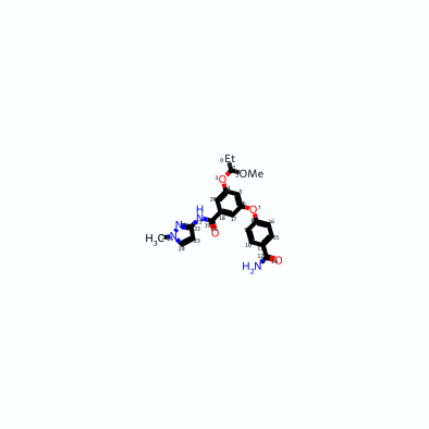 CCC(OC)Oc1cc(Oc2ccc(C(N)=O)cc2)cc(C(=O)Nc2ccn(C)n2)c1